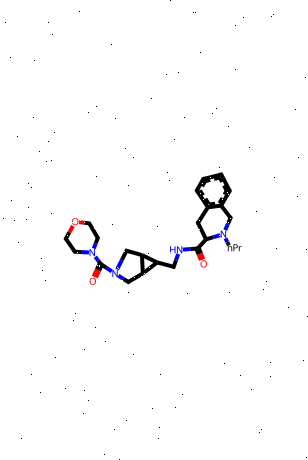 CCCN1Cc2ccccc2CC1C(=O)NCC1C2CN(C(=O)N3CCOCC3)CC12